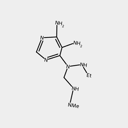 CCNN(CNNC)c1ncnc(N)c1N